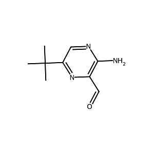 CC(C)(C)c1cnc(N)c(C=O)n1